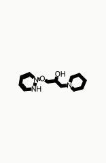 OC(CON1C=CC=CN1)CN1CCCCC1